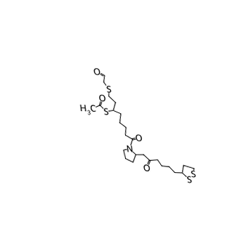 CC(=O)SC(CCCCC(=O)N1CCCC1CC(=O)CCCCC1CCSS1)CCSCC=O